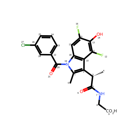 Cc1c([C@H](C)C(=O)NCC(=O)O)c2c(F)c(O)c(F)cc2n1C(=O)c1cccc(Cl)c1